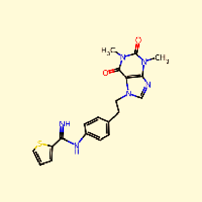 Cn1c(=O)c2c(ncn2CCc2ccc(NC(=N)c3cccs3)cc2)n(C)c1=O